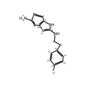 Nc1ccc2[nH]c(NCCc3ccc(F)cc3)nc2c1